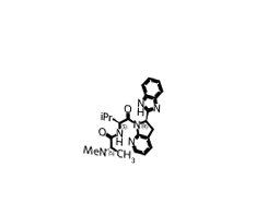 CN[C@@H](C)C(=O)N[C@H](C(=O)N1c2ncccc2C[C@@H]1c1nc2ccccc2[nH]1)C(C)C